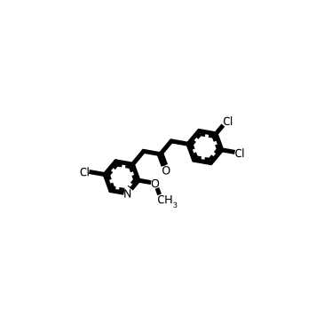 COc1ncc(Cl)cc1CC(=O)Cc1ccc(Cl)c(Cl)c1